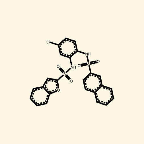 O=S(=O)(Nc1ccc(Cl)cc1NS(=O)(=O)c1cc2ccccc2o1)c1ccc2ccccc2c1